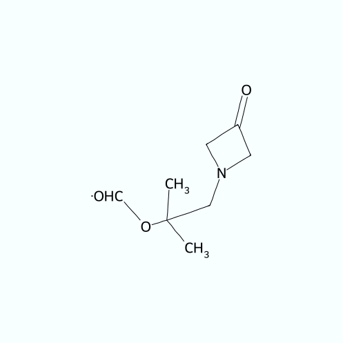 CC(C)(CN1CC(=O)C1)O[C]=O